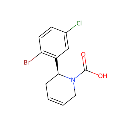 O=C(O)N1CC=CC[C@H]1c1cc(Cl)ccc1Br